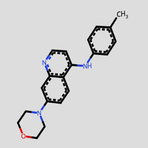 Cc1ccc(Nc2ccnc3cc(N4CCOCC4)ccc23)cc1